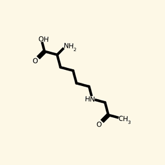 CC(=O)CNCCCCC(N)C(=O)O